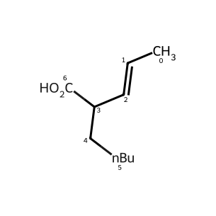 CC=CC(CCCCC)C(=O)O